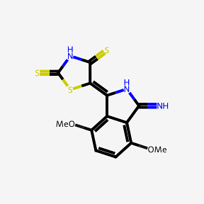 COc1ccc(OC)c2c1C(=N)N/C2=C1/SC(=S)NC1=S